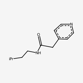 CC(C)CCNC(=O)Cc1ccncc1